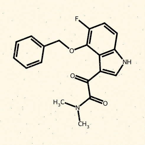 CN(C)C(=O)C(=O)c1c[nH]c2ccc(F)c(OCc3ccccc3)c12